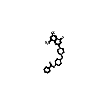 O=C(OC1CCC(CN2CCN(c3cc(=O)c4cc(C(F)(F)F)cc([N+](=O)[O-])c4s3)CC2)CC1)c1ccncc1